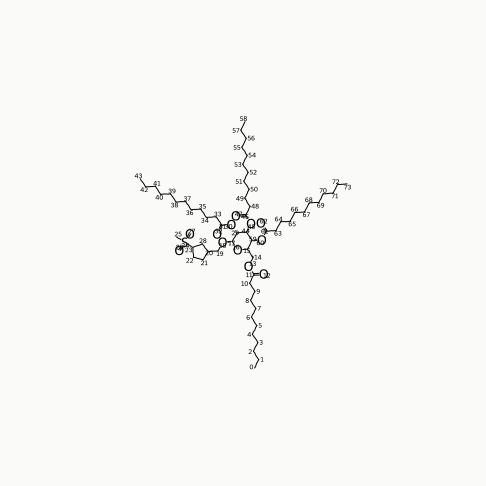 CCCCCCCCCCCC(=O)OC[C@H]1O[C@@H](OCC2CCC(S(C)(=O)=O)C2)[C@H](OC(=O)CCCCCCCCCCC)[C@@H](OC(=O)CCCCCCCCCCC)[C@H]1OC(=O)CCCCCCCCCCC